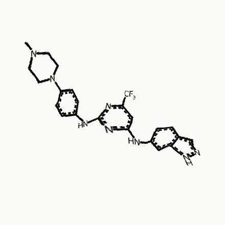 CN1CCN(c2ccc(Nc3nc(Nc4ccc5cn[nH]c5c4)cc(C(F)(F)F)n3)cc2)CC1